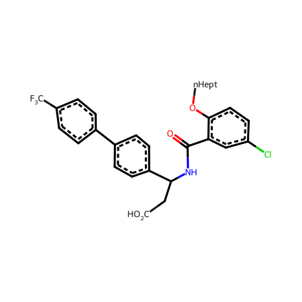 CCCCCCCOc1ccc(Cl)cc1C(=O)NC(CC(=O)O)c1ccc(-c2ccc(C(F)(F)F)cc2)cc1